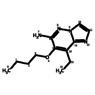 CCCCOc1c(N)nn2ccnc2c1CC